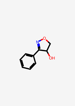 OC1CON=C1c1ccccc1